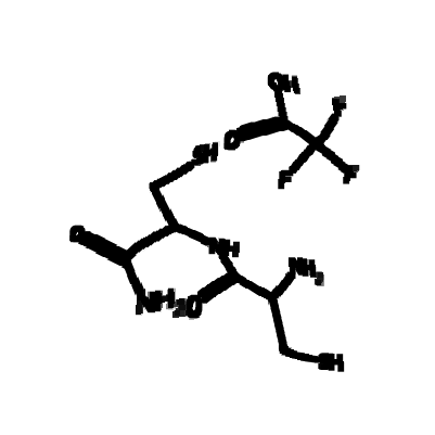 NC(=O)C(CS)NC(=O)C(N)CS.O=C(O)C(F)(F)F